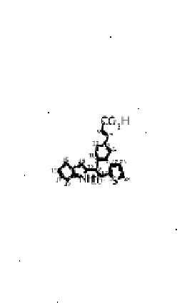 CC/C(=C(/c1ccc(/C=C/C(=O)O)cc1)c1cc2ccccc2[nH]1)c1cccs1